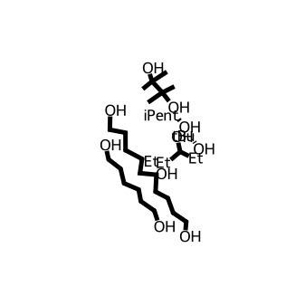 CC(C)(C)O.CC(C)(O)C(C)(C)O.CCC(O)CC.CCCC(C)O.CCO.OCCCCCCCCCCO.OCCCCCCO